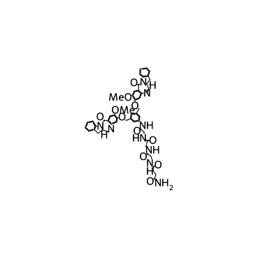 COc1cc2c(cc1OCc1cc(COc3cc4c(cc3OC)C(=O)N3c5ccccc5C[C@H]3C=N4)cc(NC(=O)CNC(=O)CNC(=O)CNC(=O)CCC(N)=O)c1)N=C[C@@H]1Cc3ccccc3N1C2=O